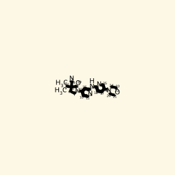 CC(C)C1(C#N)CCN(c2ccnc(Nc3ccc(N4CCOCC4)cn3)c2)C1=O